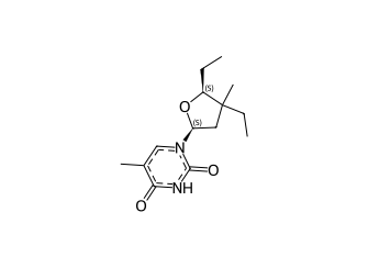 CC[C@@H]1O[C@H](n2cc(C)c(=O)[nH]c2=O)CC1(C)CC